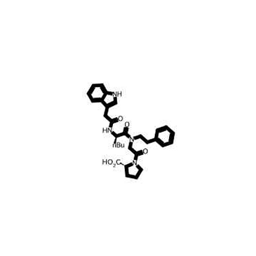 CCCC[C@@H](NC(=O)Cc1c[nH]c2ccccc12)C(=O)N(CCc1ccccc1)CC(=O)N1CCC[C@@H]1C(=O)O